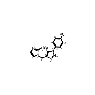 CCCCc1nccn1Cc1cn(-c2ccc(Cl)cc2)nn1